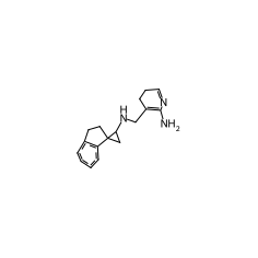 NC1=C(CNC2CC23CCc2ccccc23)CCC=N1